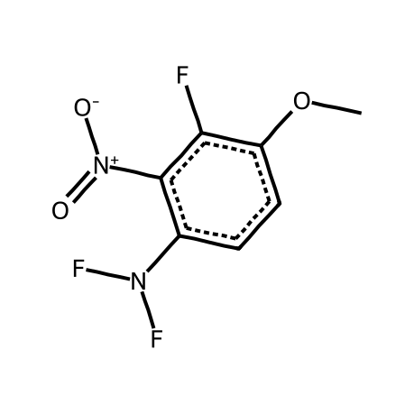 COc1ccc(N(F)F)c([N+](=O)[O-])c1F